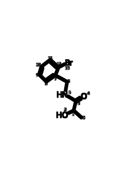 CC(O)C(=O)NCc1ccccc1Br